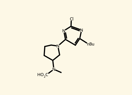 CCCCc1cc(N2CCCC(N(C)C(=O)O)C2)nc(Cl)n1